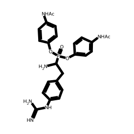 CC(=O)Nc1ccc(OP(=O)(Oc2ccc(NC(C)=O)cc2)C(N)Cc2ccc(NC(=N)N)cc2)cc1